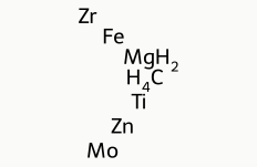 C.[Fe].[MgH2].[Mo].[Ti].[Zn].[Zr]